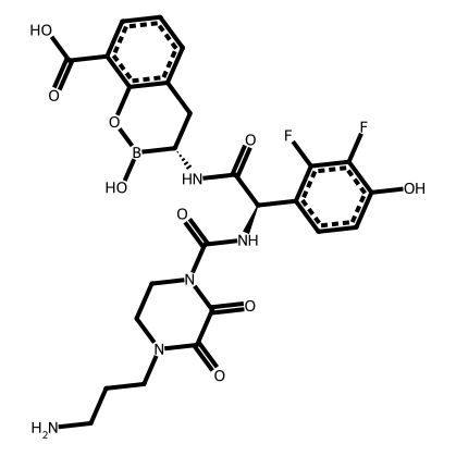 NCCCN1CCN(C(=O)N[C@@H](C(=O)N[C@H]2Cc3cccc(C(=O)O)c3OB2O)c2ccc(O)c(F)c2F)C(=O)C1=O